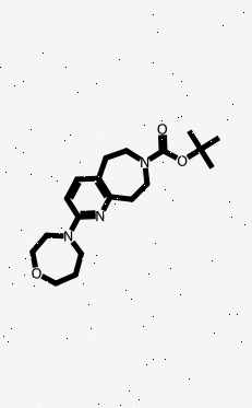 CC(C)(C)OC(=O)N1CCc2ccc(N3CCCOCC3)nc2CC1